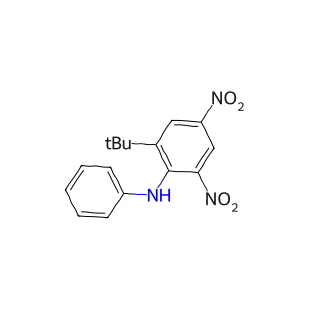 CC(C)(C)c1cc([N+](=O)[O-])cc([N+](=O)[O-])c1Nc1ccccc1